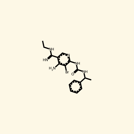 CCNC(=N)c1cnc(NC(=O)NC(C)c2ccccc2)c(Br)c1N